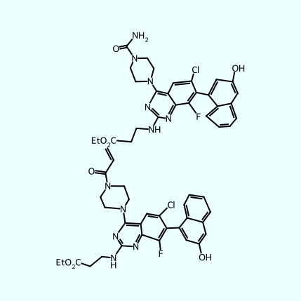 C=CC(=O)N1CCN(c2nc(NCCC(=O)OCC)nc3c(F)c(-c4cc(O)cc5ccccc45)c(Cl)cc23)CC1.CCOC(=O)CCNc1nc(N2CCN(C(N)=O)CC2)c2cc(Cl)c(-c3cc(O)cc4ccccc34)c(F)c2n1